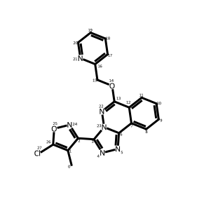 Cc1c(-c2nnc3c4ccccc4c(OCc4ccccn4)nn23)noc1Cl